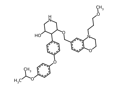 COCCCN1CCOc2ccc(COC3CNCC(O)C3c3ccc(Oc4ccc(OC(C)C)cc4)cc3)cc21